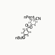 CCCCC[C@]1(C#N)CC[C@@H](OC(=O)c2ccc(OCCCC)cc2)CC1